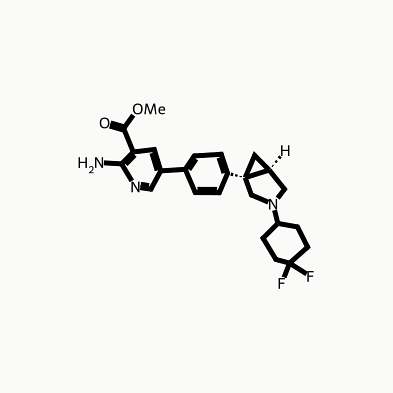 COC(=O)c1cc(-c2ccc([C@]34C[C@H]3CN(C3CCC(F)(F)CC3)C4)cc2)cnc1N